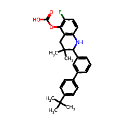 CC(C)(C)c1ccc(-c2cccc(C3Nc4ccc(F)c(OC(=O)O)c4CC3(C)C)c2)cc1